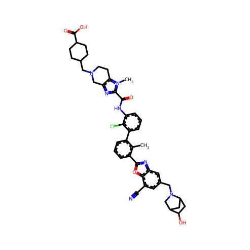 Cc1c(-c2nc3cc(CN4CC5CC4CC5O)cc(C#N)c3o2)cccc1-c1cccc(NC(=O)c2nc3c(n2C)CCN(CC2CCC(C(=O)O)CC2)C3)c1Cl